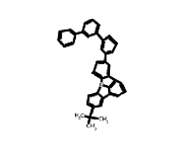 CC(C)(C)c1ccc2c(c1)c1cccc3c4cc(-c5cccc(-c6cccc(-c7ccccc7)c6)c5)ccc4n2c31